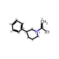 C=C(CC)N1CCCC(c2ccccc2)C1